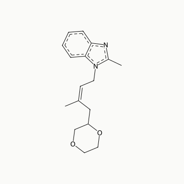 CC(=CCn1c(C)nc2ccccc21)CC1COCCO1